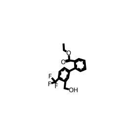 CCOC(=O)c1ccccc1-c1ccc(C(F)(F)F)c(CO)c1